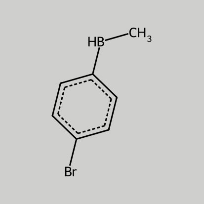 CBc1ccc(Br)cc1